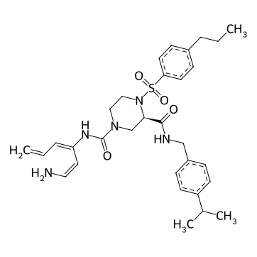 C=C/C=C(\C=C/N)NC(=O)N1CCN(S(=O)(=O)c2ccc(CCC)cc2)[C@@H](C(=O)NCc2ccc(C(C)C)cc2)C1